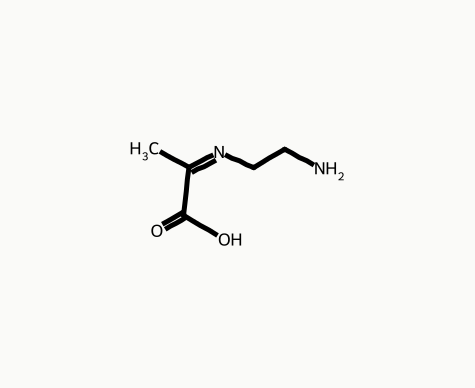 CC(=NCCN)C(=O)O